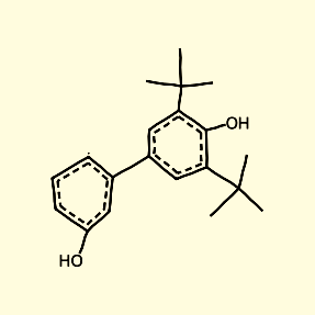 CC(C)(C)c1cc(-c2[c]ccc(O)c2)cc(C(C)(C)C)c1O